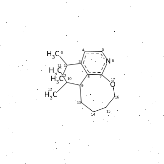 CC(C)c1ccnc2c1C(C(C)C)CCCCO2